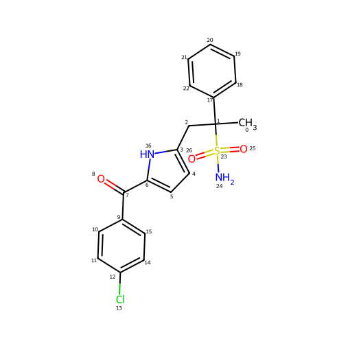 CC(Cc1ccc(C(=O)c2ccc(Cl)cc2)[nH]1)(c1ccccc1)S(N)(=O)=O